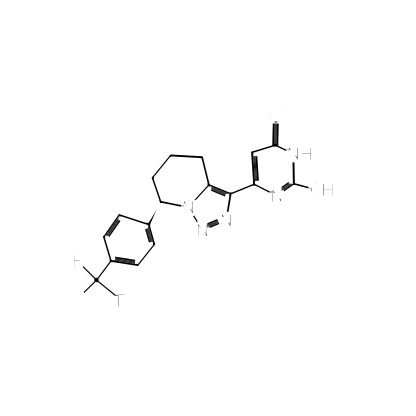 Cc1nc(-c2nnn3c2CCC[C@@H]3c2ccc(C(F)(F)F)cc2)cc(=O)[nH]1